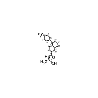 C#C[C@H](C)NC(=O)c1ccc2c(-c3ccc(C(F)(F)F)cc3)cccc2c1